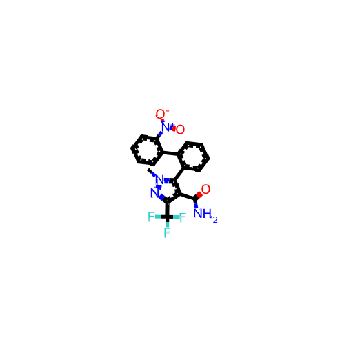 Cn1nc(C(F)(F)F)c(C(N)=O)c1-c1ccccc1-c1ccccc1[N+](=O)[O-]